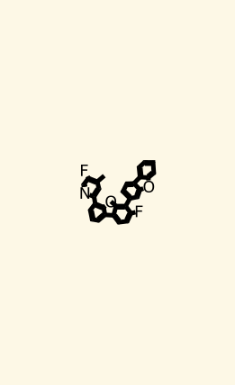 Cc1cc(-c2cccc3c2oc2c(-c4ccc5c(c4)oc4ccccc45)c(F)ccc23)ncc1F